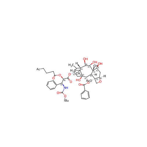 CC(=O)CCCC(=O)O[C@@H](C(=O)O[C@H]1C[C@@]2(O)[C@@H](OC(=O)c3ccccc3)[C@@H]3[C@]4(OC(C)=O)CO[C@@H]4C[C@H](O)[C@@]3(C)[C@H](O)[C@H](O)[C@@H](C1C)C2(C)C)[C@@H](NC(=O)OC(C)(C)C)c1ccccc1